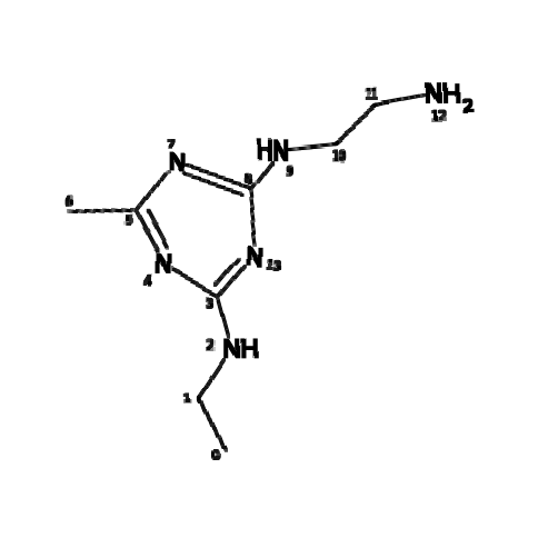 CCNc1nc(C)nc(NCCN)n1